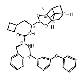 CC1(C)C2C[C@H]1C[C@H]1OB([C@H](CC3CCC3)NC(=O)[C@H](Cc3ccccc3)NC(=O)c3cccc(Oc4ccccc4)c3)O[C@@]21C